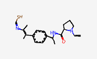 C=CN1CCCC1C(=O)NC(C)c1ccc(/C(C)=C(C)/N=C\S)cc1